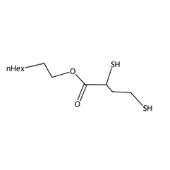 CCCCCCCCOC(=O)C(S)CCS